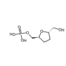 O=P(O)(O)OC[C@@H]1CC[C@@H](CO)O1